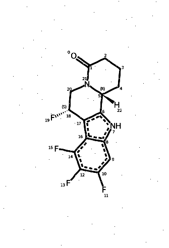 O=C1CCC[C@@H]2c3[nH]c4cc(F)c(F)c(F)c4c3[C@H](F)CN12